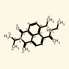 C=C(NCC)c1ccc2c(=C)n(C(C)C)c(=O)c3ccc(CC)c1c23